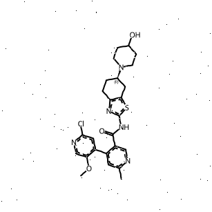 COc1cnc(Cl)cc1-c1cc(C)ncc1C(=O)Nc1nc2c(s1)C[C@H](N1CCC(O)CC1)CC2